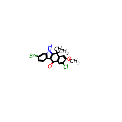 COc1cc2c(cc1Cl)C(=O)c1c([nH]c3cc(Br)ccc13)C2(C)C